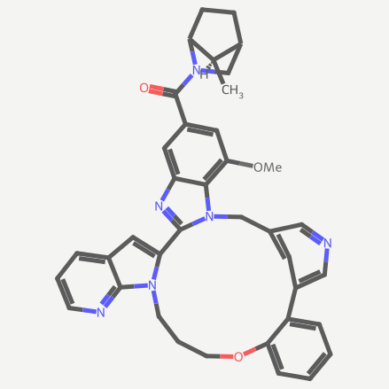 COc1cc(C(=O)N2CC3CCC2[C@@H]3C)cc2nc3n(c12)Cc1cncc(c1)-c1ccccc1OCCCn1c-3cc2cccnc21